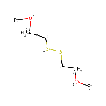 CCO[SiH2]CSSC[SiH2]OCC